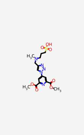 COC(=O)c1cc(-n2cc(CN(C)CCCS(=O)(=O)O)nn2)cc(C(=O)OC)n1